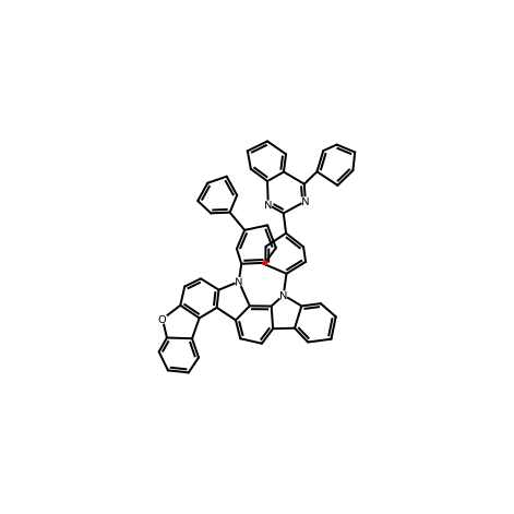 c1ccc(-c2cccc(-n3c4ccc5oc6ccccc6c5c4c4ccc5c6ccccc6n(-c6ccc(-c7nc(-c8ccccc8)c8ccccc8n7)cc6)c5c43)c2)cc1